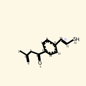 C=C(C)CC(=O)c1ccc(/C=C/S)cc1